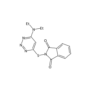 CCN(CC)c1cc(SN2C(=O)c3ccccc3C2=O)nnn1